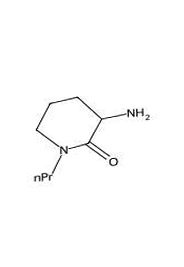 CCCN1CCCC(N)C1=O